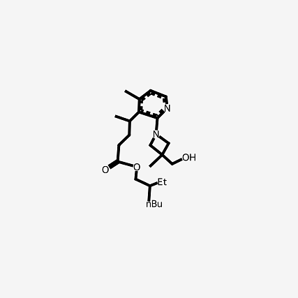 CCCCC(CC)COC(=O)CCC(C)c1c(C)ccnc1N1CC(C)(CO)C1